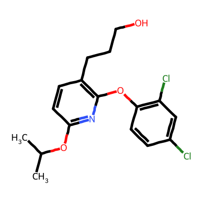 CC(C)Oc1ccc(CCCO)c(Oc2ccc(Cl)cc2Cl)n1